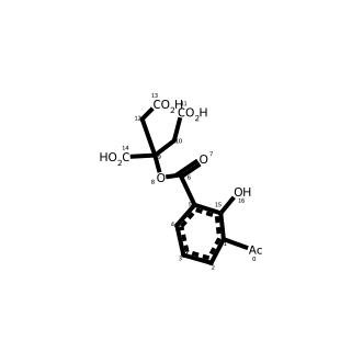 CC(=O)c1cccc(C(=O)OC(CC(=O)O)(CC(=O)O)C(=O)O)c1O